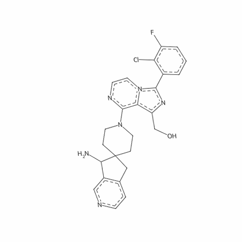 NC1c2cnccc2CC12CCN(c1nccn3c(-c4cccc(F)c4Cl)nc(CO)c13)CC2